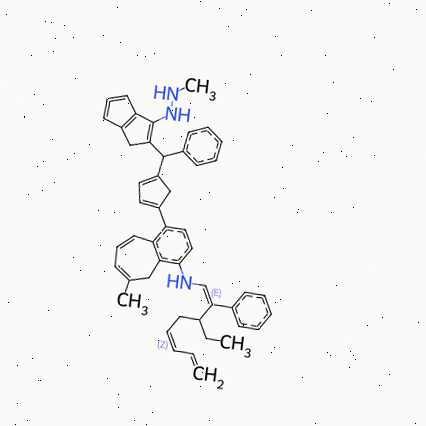 C=C/C=C\CC(CC)/C(=C\Nc1ccc(C2=CC=C(C(C3=C(NNC)C4=C(C=C=C4)C3)c3ccccc3)C2)c2c1CC(C)=CC=C2)c1ccccc1